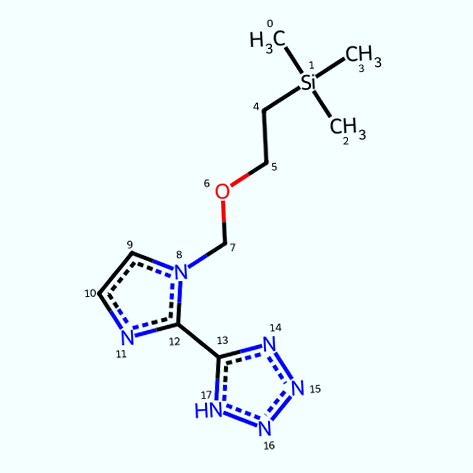 C[Si](C)(C)CCOCn1ccnc1-c1nnn[nH]1